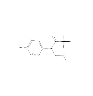 CC(C)(C)C(=O)C(CCN)c1ccc(Br)cc1